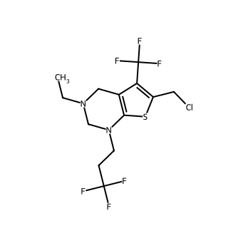 CCN1Cc2c(sc(CCl)c2C(F)(F)F)N(CCC(F)(F)F)C1